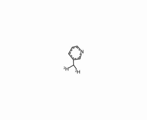 [2H]C([2H])c1cccnc1